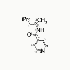 CC(C)C[C@@H](C)NC(=O)c1ccncc1